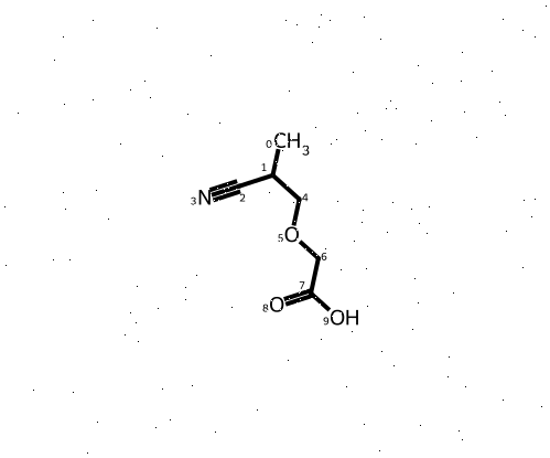 CC(C#N)COCC(=O)O